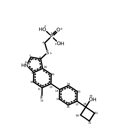 O=P(O)(O)CSc1c[nH]c2cc(F)c(-c3ccc(C4(O)CCC4)cc3)cc12